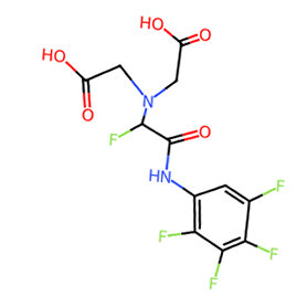 O=C(O)CN(CC(=O)O)C(F)C(=O)Nc1cc(F)c(F)c(F)c1F